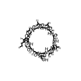 CCCC[C@@H](C)[C@H]1ON2C(=O)[C@H](C(C)C)N(C)C(=O)[C@H](CC(C)C)N(C)C(=O)[C@H](CC(C)C)N(C)C(=O)[C@@H](C)NC(=O)[C@H](C)NC[C@](C=O)(CC(C)C)N(C)C(=O)[C@H](C(C)C)NC(=O)[C@H](C(C)(C)CO)N(C)C(=O)[C@@H](C)N(C)C(=O)[C@H](CC)NC(=O)[C@H]12